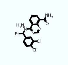 CCC(c1ccc(Cl)c(Cl)c1)N(N)c1ncnc2c(C(N)=O)cccc12